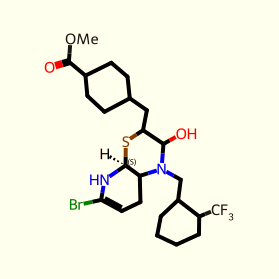 COC(=O)C1CCC(CC2S[C@@H]3NC(Br)=CCC3N(CC3CCCCC3C(F)(F)F)C2O)CC1